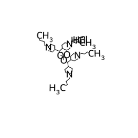 CCCCN1CCC(C(OC(=O)OC(C2CCN(CCCC)CC2)C2CCN(CCCC)CC2)C2CCN(CCCC)CC2)CC1.Cl.Cl